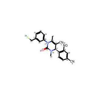 CC1=C(C#N)[C@@H](c2ccc(C#N)cc2N=O)N(C)C(=O)N1c1cccc(CF)c1